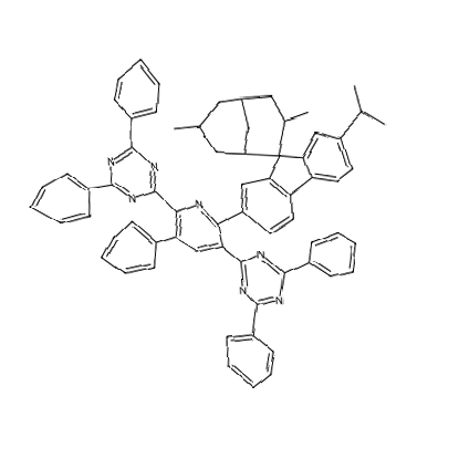 CC1CC2CC(C)C3(c4cc(-c5nc(-c6nc(-c7ccccc7)nc(-c7ccccc7)n6)c(-c6ccccc6)cc5-c5nc(-c6ccccc6)nc(-c6ccccc6)n5)ccc4-c4ccc(C(C)C)cc43)C(C1)C2